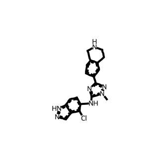 Cn1nc(-c2ccc3c(c2)CCNC3)nc1Nc1ccc2[nH]ncc2c1Cl